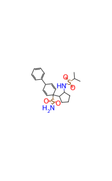 CC(C)S(=O)(=O)NC1CCCC1C1(S(N)(=O)=O)C=CC(c2ccccc2)C=C1